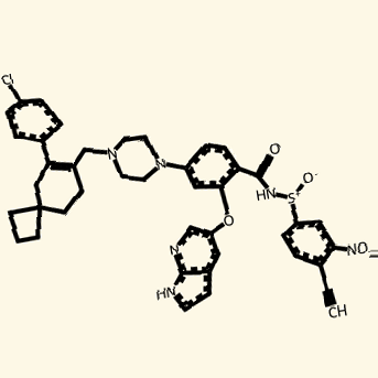 C#Cc1ccc([S+]([O-])NC(=O)c2ccc(N3CCN(CC4=C(c5ccc(Cl)cc5)CC5(CCC5)CC4)CC3)cc2Oc2cnc3[nH]ccc3c2)cc1[N+](=O)[O-]